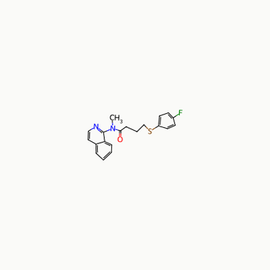 CN(C(=O)CCCSc1ccc(F)cc1)c1nccc2ccccc12